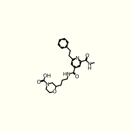 CNC(=O)c1cc(C(=O)NCCCC2CN(C(=O)O)CCO2)cc(CCc2ccccc2)n1